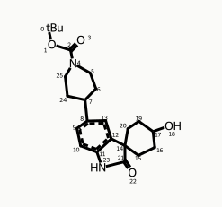 CC(C)(C)OC(=O)N1CCC(c2ccc3c(c2)C2(CCC(O)CC2)C(=O)N3)CC1